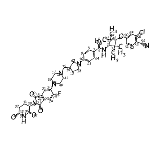 CC1(C)C(NC(=O)c2ccc(N3CC[C@@H](CN4CCN(c5cc6c(cc5F)C(=O)N(C5CCC(=O)NC5=O)C6=O)CC4)C3)cc2)C(C)(C)C1Oc1ccc(C#N)c(Cl)c1